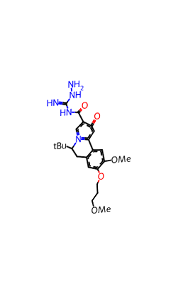 COCCCOc1cc2c(cc1OC)-c1cc(=O)c(C(=O)NC(=N)NN)cn1C(C(C)(C)C)C2